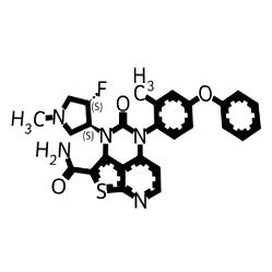 Cc1cc(Oc2ccccc2)ccc1N1C(=O)N([C@H]2CN(C)C[C@@H]2F)c2c(C(N)=O)sc3nccc1c23